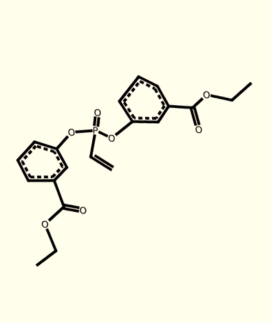 C=CP(=O)(Oc1cccc(C(=O)OCC)c1)Oc1cccc(C(=O)OCC)c1